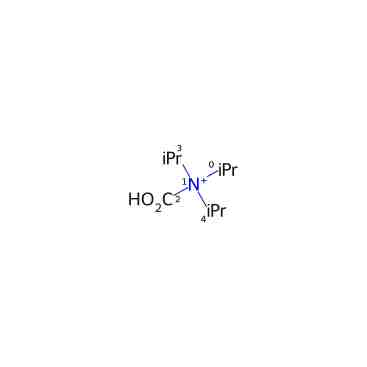 CC(C)[N+](C(=O)O)(C(C)C)C(C)C